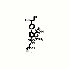 NC[C@@H](O)CNS(=O)(=O)c1ccc(N2CCC(C(N)CO)CC2)c(-c2nn[nH]n2)c1S(N)(=O)=O